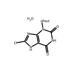 CCCCCn1c(=O)[nH]c(=O)c2[nH]c(Cl)nc21.O